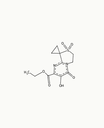 CCOC(=O)c1nc2n(c(=O)c1O)CCS(=O)(=O)C21CC1